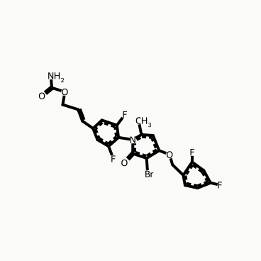 Cc1cc(OCc2ccc(F)cc2F)c(Br)c(=O)n1-c1c(F)cc(C=CCOC(N)=O)cc1F